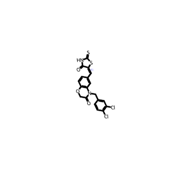 O=C1NC(=S)S/C1=C/c1ccc2c(c1)N(Cc1ccc(Cl)c(Cl)c1)C(=O)CO2